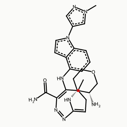 CC1C/C=C(N[C@@H]2CCOC[C@@H]2N)/N=N\C(C(N)=O)=C/1Nc1cccc2c1ccn2-c1cnn(C)c1